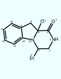 CCC1CNC(=O)C2(Cl)Cc3ccccc3N12